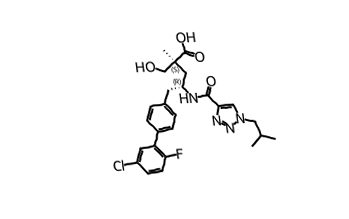 CC(C)Cn1cc(C(=O)N[C@H](Cc2ccc(-c3cc(Cl)ccc3F)cc2)C[C@@](C)(CO)C(=O)O)nn1